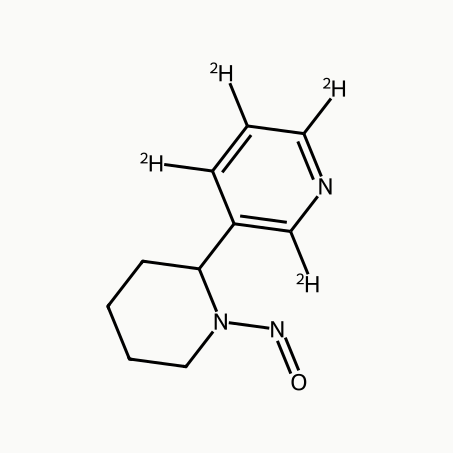 [2H]c1nc([2H])c(C2CCCCN2N=O)c([2H])c1[2H]